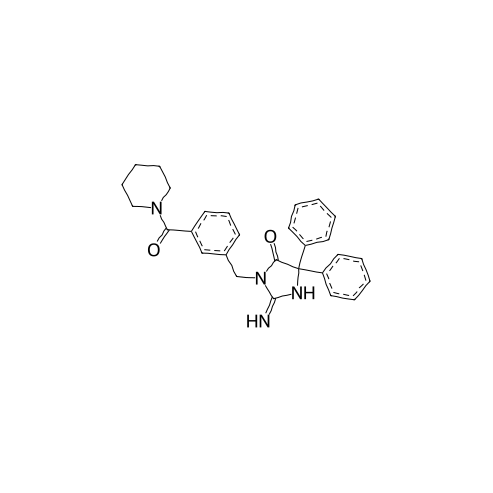 N=C1NC(c2ccccc2)(c2ccccc2)C(=O)N1Cc1cccc(C(=O)N2CCCCC2)c1